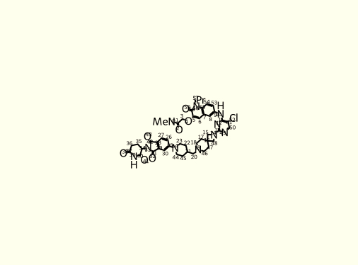 CNC(=O)COc1cc2cc(Nc3nc(N4CC5(CCN(CC6CCN(c7ccc8c(c7)C(=O)N(C7CCC(=O)NC7=O)C8=O)CC6)CC5)C4)ncc3Cl)ccc2n(C(C)C)c1=O